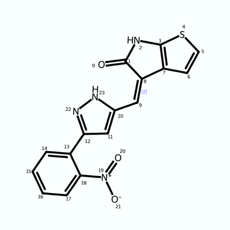 O=C1Nc2sccc2/C1=C/c1cc(-c2ccccc2[N+](=O)[O-])n[nH]1